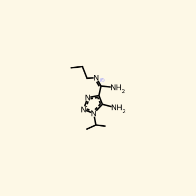 CCC/N=C(/N)c1nnn(C(C)C)c1N